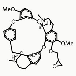 COc1ccc2cc1Oc1ccc(cc1)C[C@H]1c3cc(ccc3CCN1C)Oc1c(OCC3CO3)c(OC)cc3c1[C@H](C2)N(C)CC3